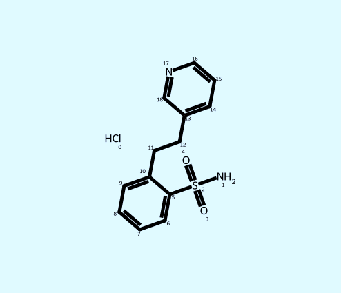 Cl.NS(=O)(=O)c1ccccc1CCc1cccnc1